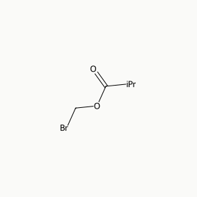 CC(C)C(=O)OCBr